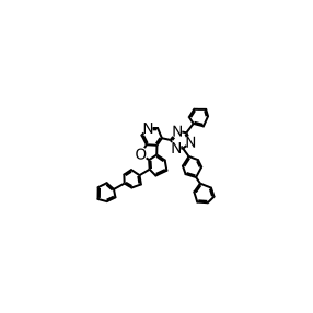 c1ccc(-c2ccc(-c3nc(-c4ccccc4)nc(-c4cncc5oc6c(-c7ccc(-c8ccccc8)cc7)cccc6c45)n3)cc2)cc1